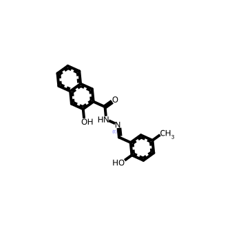 Cc1ccc(O)c(/C=N/NC(=O)c2cc3ccccc3cc2O)c1